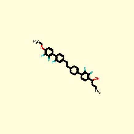 CCCC(O)c1ccc(C2=CCC(CCc3ccc(-c4ccc(OCC)c(F)c4F)c(F)c3)CC2)c(F)c1F